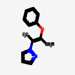 O=C(O)C(Oc1ccccc1)=C(n1cccn1)C(F)(F)F